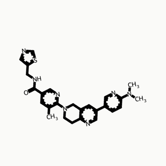 Cc1cc(C(=O)NCc2cncs2)cnc1N1CCc2ncc(-c3ccc(N(C)C)nc3)cc2C1